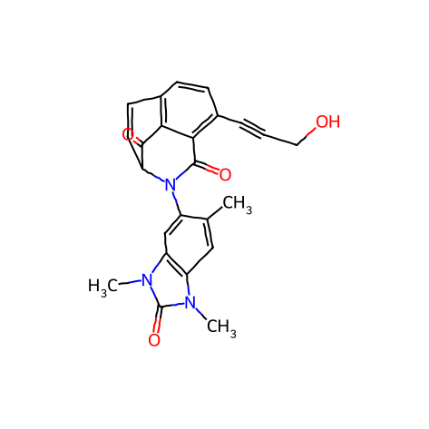 Cc1cc2c(cc1N1C(=O)c3c(C#CCO)ccc4c3C(=O)C1C=C4)n(C)c(=O)n2C